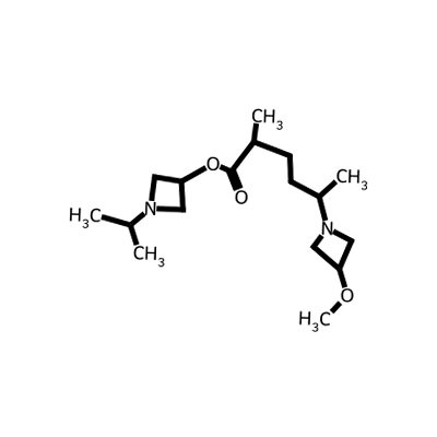 COC1CN(C(C)CCC(C)C(=O)OC2CN(C(C)C)C2)C1